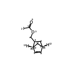 O=C(I)OCC1C[C@@H]2C=C[C@H]1C2